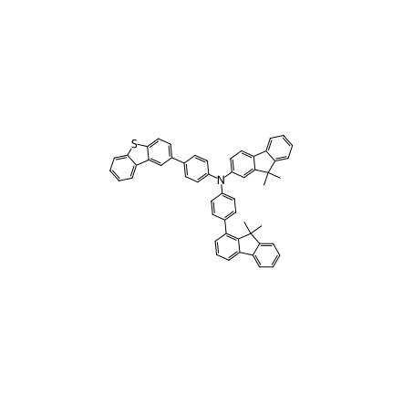 CC1(C)c2ccccc2-c2ccc(N(c3ccc(-c4ccc5sc6ccccc6c5c4)cc3)c3ccc(-c4cccc5c4C(C)(C)c4ccccc4-5)cc3)cc21